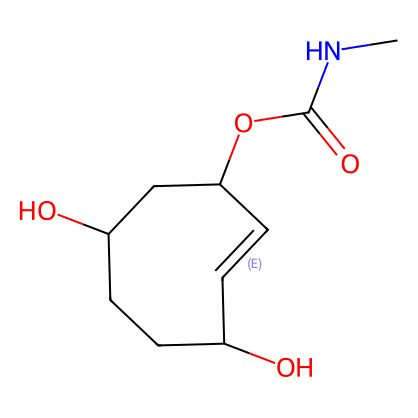 CNC(=O)OC1/C=C/C(O)CCC(O)C1